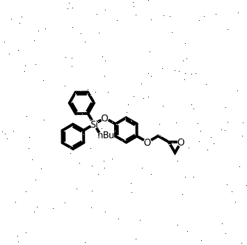 CCCC[Si](Oc1ccc(OCC2CO2)cc1)(c1ccccc1)c1ccccc1